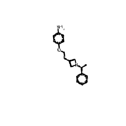 CC(c1ccccc1)N1CC(CCOc2ccc(N)cc2)C1